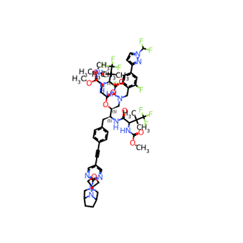 COC(=O)NC(C(=O)N[C@@H](Cc1ccc(C#Cc2cnc(N3CC4CCC(C3)N4C3COC3)nc2)cc1)[C@H](CN(Cc1c(F)cc(-c2ccn(C(F)F)n2)cc1F)NC(=O)[C@@H](NC(=O)OC)C(C)(C)C(F)(F)F)OC(=O)CCC[N+](C)(C)C)C(C)(C)C(F)(F)F